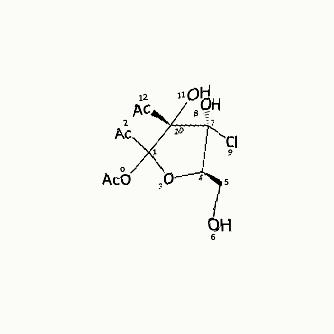 CC(=O)OC1(C(C)=O)O[C@H](CO)[C@](O)(Cl)[C@]1(O)C(C)=O